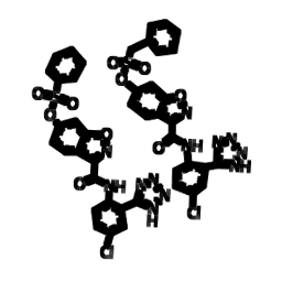 O=C(Nc1ccc(Cl)cc1-c1nnn[nH]1)c1noc2cc(OS(=O)(=O)Cc3ccccc3)ccc12.O=C(Nc1ccc(Cl)cc1-c1nnn[nH]1)c1noc2cc(OS(=O)(=O)c3ccccc3)ccc12